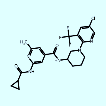 Cc1cc(C(=O)NC2CCCN(c3ncc(Cl)cc3C(F)(F)F)C2)cc(NC(=O)C2CC2)n1